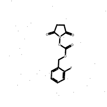 O=C(OCc1ccccc1F)ON1C(=O)CCC1=O